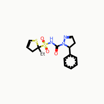 CCC1(S(=O)(=O)NC(=O)N2N=CCC2c2ccccc2)CC=CS1